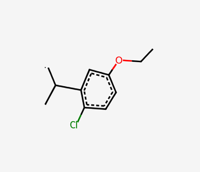 [CH2]C(C)c1cc(OCC)ccc1Cl